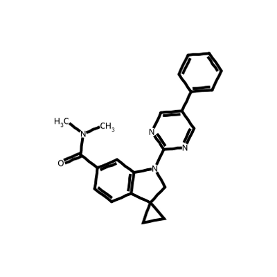 CN(C)C(=O)c1ccc2c(c1)N(c1ncc(-c3ccccc3)cn1)CC21CC1